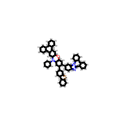 c1ccc(N2c3cc(-c4ccc5c(c4)sc4ccccc45)c(-c4ccc5nc6c7ccccc7c7ccccc7n6c5c4)cc3Oc3cc4c5ccccc5c5ccccc5c4cc32)cc1